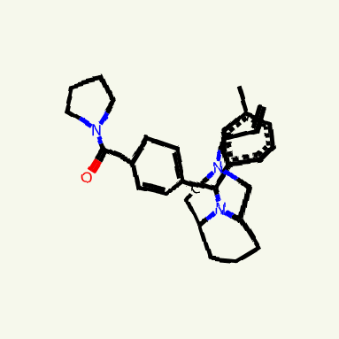 C=CCN1CCC2CCCC(C1)N2C(C1=CCC(C(=O)N2CCCC2)C=C1)c1cccc(C)c1